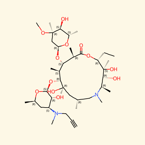 C#CCN(C)[C@H]1C[C@@H](C)O[C@@H](O[C@@H]2[C@@H](C)[C@H](O[C@H]3C[C@@](C)(OC)[C@@H](O)[C@H](C)O3)[C@@H](C)C(=O)O[C@H](CC)[C@@](C)(O)[C@H](O)[C@@H](C)N(C)C[C@H](C)C[C@@]2(C)O)[C@@H]1O